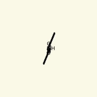 CCCCCCCCCCCCCCCOCOC1CCC[SiH](CCCSC(=O)CCCCCCCCCCCCCCC)NCC1